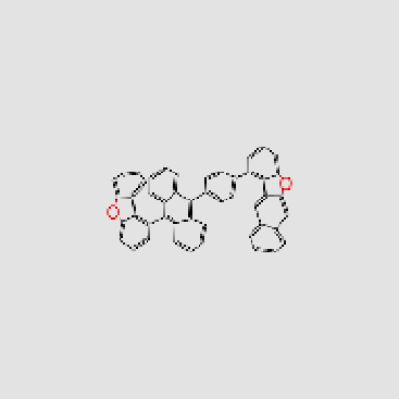 c1ccc2cc3c(cc2c1)oc1cccc(-c2ccc(-c4c5ccccc5c(-c5cccc6oc7ccccc7c56)c5ccccc45)cc2)c13